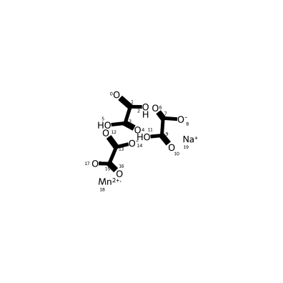 O=C(O)C(=O)O.O=C([O-])C(=O)O.O=C([O-])C(=O)[O-].[Mn+2].[Na+]